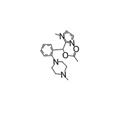 CC(=O)OC(c1ccccc1N1CCN(C)CC1)c1nccn1C